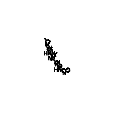 Cc1cn2c(-c3cnn(CC(=O)Nc4cnc5ccccc5c4)c3)cnc2c(Nc2cc(CN3CCCC(C)C3)ns2)n1